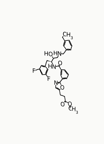 CCc1cccc(CNC[C@H](O)[C@H](Cc2cc(F)cc(F)c2)NC(=O)c2cccc(-c3ncc(CCC(=O)OC)o3)c2)c1